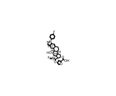 C[C@]12Cc3cnn(-c4ccc(F)cc4)c3C=C1CC[C@@H]1[C@@H]2[C@@H](O)C[C@@]2(C)[C@H]1CC[C@]2(C(=O)SCF)c1ccoc1C(=O)O